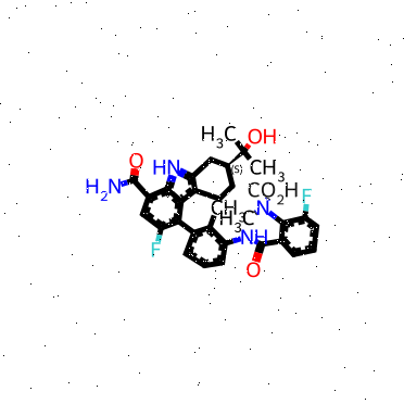 Cc1c(NC(=O)c2cccc(F)c2N(C)C(=O)O)cccc1-c1c(F)cc(C(N)=O)c2[nH]c3c(c12)CC[C@H](C(C)(C)O)C3